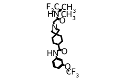 CC(C)(NC(=O)CN1CC2(CCC(C(=O)Nc3cccc(OC(F)(F)F)c3)CC2)C1)C(F)(F)F